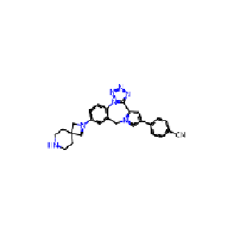 N#Cc1ccc(-c2cc3n(c2)Cc2cc(N4CC5(CCNCC5)C4)ccc2-n2nnnc2-3)cc1